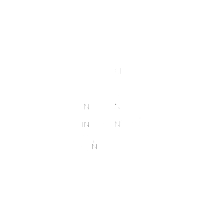 Clc1ccc(-n2c3c/c(=N\C4CCCCC4)c(Nc4cccnc4)cc-3nc3ccccc32)cc1